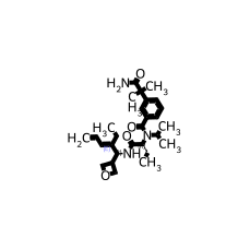 C=C/C=C(\CC)[C@H](NC(=O)[C@@H](CC)N(C(=O)c1cccc(C(C)(C)C(N)=O)c1)C(C)C)C1COC1